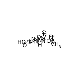 COc1ccc(-c2nc(NC(=O)c3cnc(N4CCC(C(=O)O)CC4)cn3)sc2CN2CCCCC2)cc1C(F)(F)F